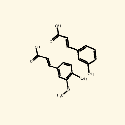 COc1cc(/C=C/C(=O)O)ccc1O.O=C(O)/C=C/c1cccc(O)c1